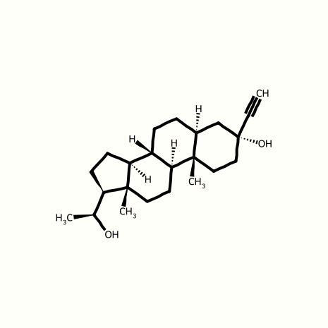 C#C[C@@]1(O)CC[C@@]2(C)[C@@H](CC[C@@H]3[C@@H]2CC[C@]2(C)[C@@H]([C@H](C)O)CC[C@@H]32)C1